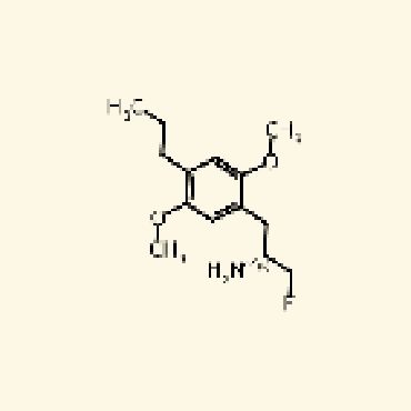 CCCc1cc(OC)c(C[C@@H](N)CF)cc1OC